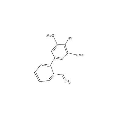 C=Cc1ccccc1-c1cc(OC)c(C(C)C)c(OC)c1